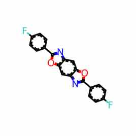 Fc1ccc(-c2nc3cc4oc(-c5ccc(F)cc5)nc4cc3o2)cc1